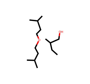 CC(C)CCOCCC(C)C.CCC(C)CO